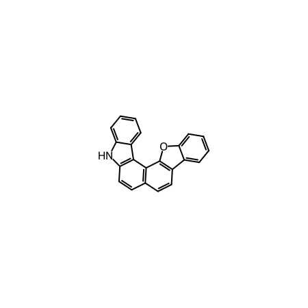 c1ccc2c(c1)[nH]c1ccc3ccc4c5ccccc5oc4c3c12